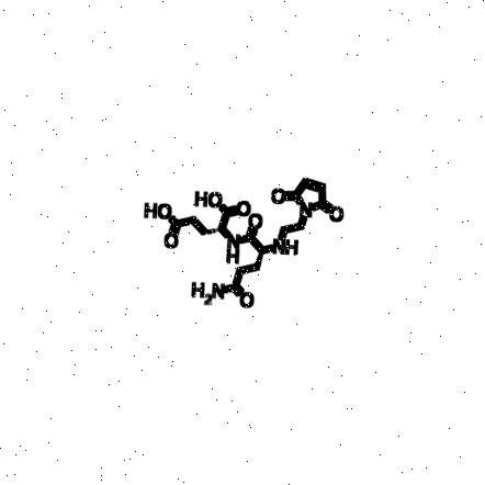 NC(=O)CC[C@H](NCCN1C(=O)C=CC1=O)C(=O)N[C@H](CCC(=O)O)C(=O)O